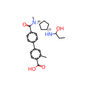 CCC(O)N[C@H]1CC[C@@H](N(C)C(=O)c2ccc(-c3ccc(C(=O)O)c(C)c3)cc2)C1